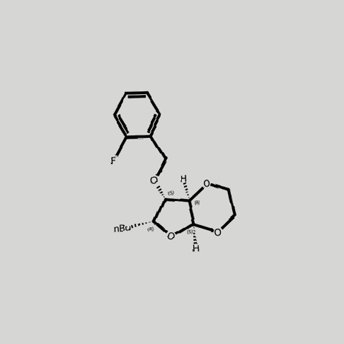 CCCC[C@H]1O[C@@H]2OCCO[C@@H]2[C@H]1OCc1ccccc1F